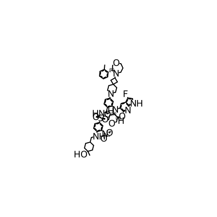 Cc1ccccc1[C@@H]1COCCCN1C1CC2(CCN(c3ccc(C(=O)NS(=O)(=O)c4ccc(NCC5CCC(C)(O)CC5)c([N+](=O)[O-])c4)c(N4c5cc6c(F)c[nH]c6nc5O[C@H]5COCC[C@@H]54)c3)CC2)C1